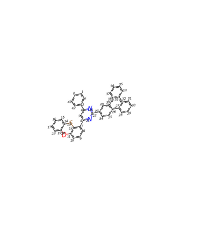 c1ccc(-c2cc(-c3cccc4c3Sc3ccccc3O4)nc(-c3ccc4c5ccccc5c5ccccc5c4c3)n2)cc1